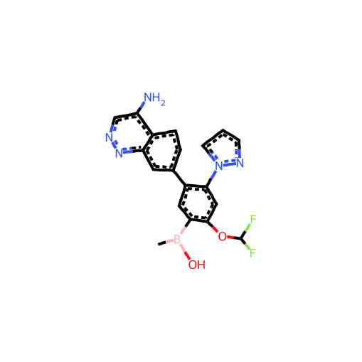 CB(O)c1cc(-c2ccc3c(N)cnnc3c2)c(-n2cccn2)cc1OC(F)F